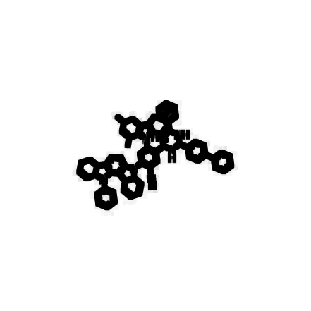 CC1=Cc2c3c(n(-c4cc(N5c6ccc7c(c6C6C=CC=CC65)N(c5ccccc5)C5C=CCCC75)c(C#N)cc4C4NC(c5ccccc5)NC(c5ccc(-c6ccccc6)cc5)N4)c2C(C)C1)C(C)=CC(C)C3